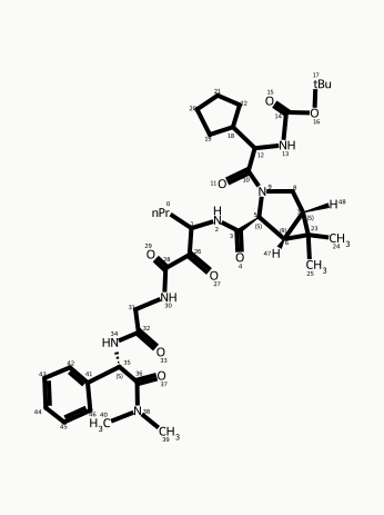 CCCC(NC(=O)[C@@H]1[C@@H]2[C@H](CN1C(=O)C(NC(=O)OC(C)(C)C)C1CCCC1)C2(C)C)C(=O)C(=O)NCC(=O)N[C@H](C(=O)N(C)C)c1ccccc1